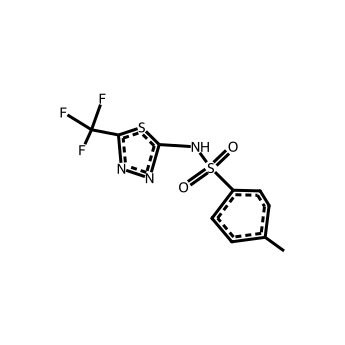 Cc1ccc(S(=O)(=O)Nc2nnc(C(F)(F)F)s2)cc1